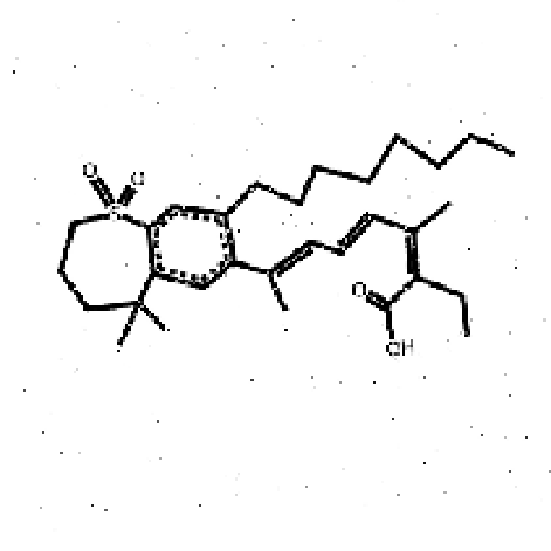 CCCCCCCCc1cc2c(cc1C(C)=CC=CC(C)=C(CC)C(=O)O)C(C)(C)CCCS2(=O)=O